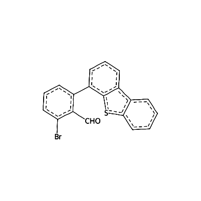 O=Cc1c(Br)cccc1-c1cccc2c1sc1ccccc12